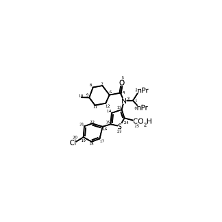 CCCC(CCC)N(C(=O)C1CCC(C)CC1)c1cc(-c2ccc(Cl)cc2)sc1C(=O)O